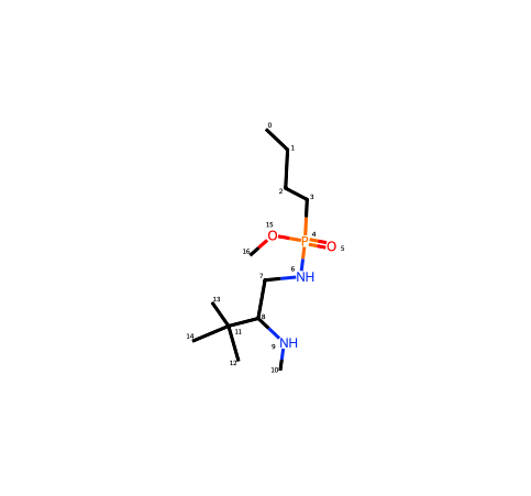 CCCCP(=O)(NCC(NC)C(C)(C)C)OC